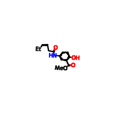 CC/C=C\CC(=O)Nc1ccc(O)c(C(=O)OC)c1